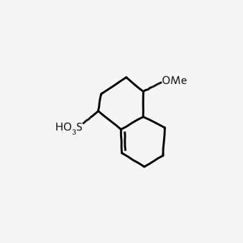 COC1CCC(S(=O)(=O)O)C2=CCCCC21